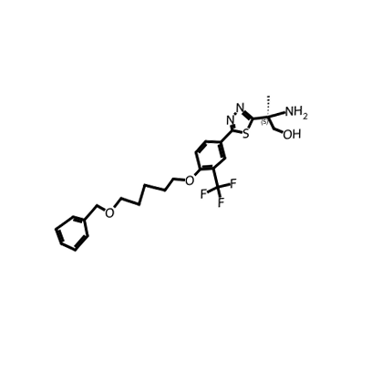 C[C@](N)(CO)c1nnc(-c2ccc(OCCCCCOCc3ccccc3)c(C(F)(F)F)c2)s1